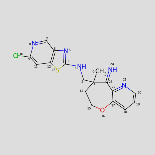 CC1(CNc2nc3cnc(Cl)cc3s2)CCOc2cccnc2C1=N